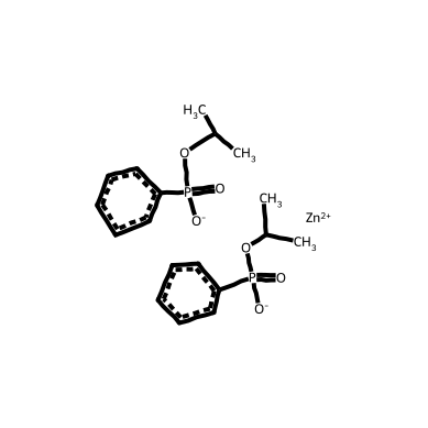 CC(C)OP(=O)([O-])c1ccccc1.CC(C)OP(=O)([O-])c1ccccc1.[Zn+2]